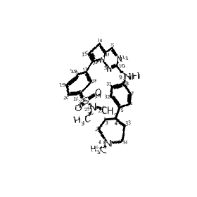 CN1CCC(c2ccc(Nc3ncc4ccc(-c5cccc(S(=O)(=O)N(C)C)c5)n4n3)cc2)CC1